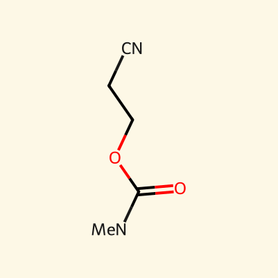 CNC(=O)OCCC#N